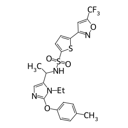 CCn1c(C(C)NS(=O)(=O)c2ccc(-c3cc(C(F)(F)F)on3)s2)cnc1Oc1ccc(C)cc1